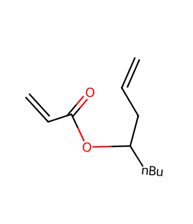 C=CCC(CCCC)OC(=O)C=C